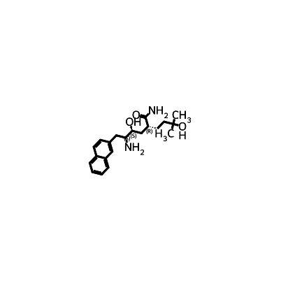 CC(C)(O)CC[C@H](C[C@H](O)[C@@H](N)Cc1ccc2ccccc2c1)C(N)=O